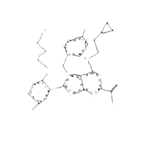 Cc1ccc(OCCCO)c(-c2nc3nc(C(=O)O)nc(NCCC4CC4)c3n2Cc2ccc(Cl)cc2)c1